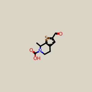 CC1c2sc(C=O)cc2CCN1C(=O)O